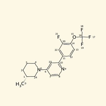 C[C@@H]1CCCN(c2ccnc(-c3ccc(OC(F)(F)F)c(F)c3)c2)C1